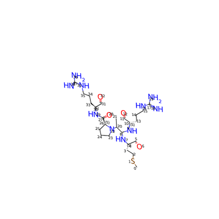 CSCC[C@@H](C=O)NC(N[C@H](C=O)CCCNC(=N)N)C(C)N1CCC[C@H]1C(=O)N[C@H](C=O)CCCNC(=N)N